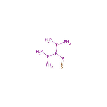 PP(P)P(P=S)P(P)P